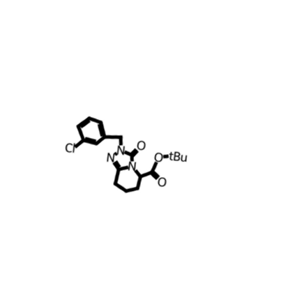 CC(C)(C)OC(=O)C1CCCc2nn(Cc3cccc(Cl)c3)c(=O)n21